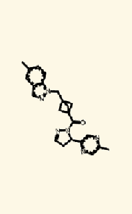 Cc1ccc2c(cnn2CC23CC(C(=O)N4N=CCC4c4cnc(C)cn4)(C2)C3)c1